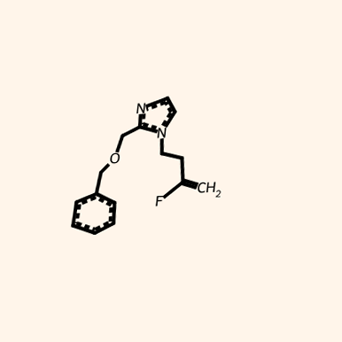 C=C(F)CCn1ccnc1COCc1ccccc1